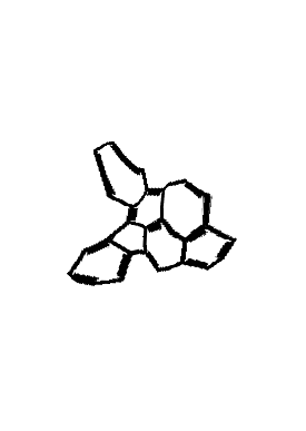 c1ccc2c(c1)-c1cc3cccc4ccc5c6ccccc6c-2c1c5c43